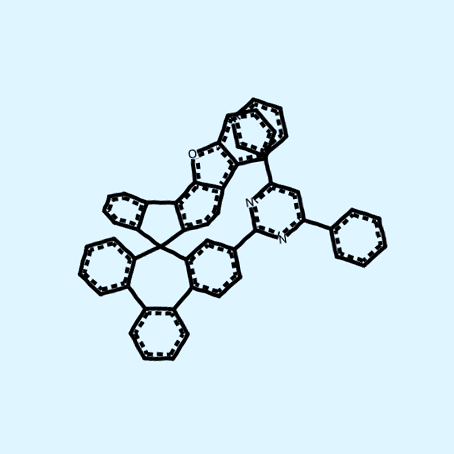 c1ccc(-c2cc(-c3cccnc3)nc(-c3ccc4c(c3)C3(c5ccccc5-c5ccccc5-4)c4ccccc4-c4c3ccc3c4oc4ccccc43)n2)cc1